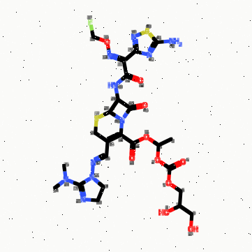 CC(OC(=O)OCC(O)CO)OC(=O)C1=C(C=NN2CCN=C2N(C)C)CSC2C(NC(=O)C(=NOCF)c3nsc(N)n3)C(=O)N12